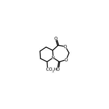 O=C(O)C1CCCC2C(=O)OCOC(=O)N12